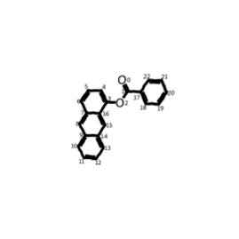 O=C(Oc1cccc2cc3ccccc3cc12)c1ccccc1